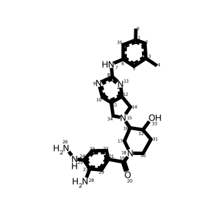 Cc1cc(C)cc(Nc2ncc3c(n2)CN(C2CN(C(=O)c4ccc(NN)c(N)c4)CCC2O)C3)c1